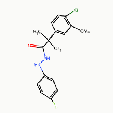 COc1cc(C(C)(C)C(=O)NNc2ccc(F)cc2)ccc1Cl